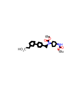 CC(C)(C)OC(=O)NC1CCC(N(C(=O)OC(C)(C)C)C2CC2c2ccc(-c3cccc(CCC(=O)O)c3)cc2)CC1